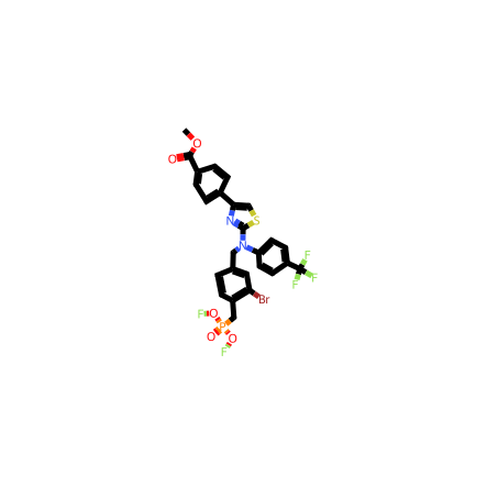 COC(=O)c1ccc(-c2csc(N(Cc3ccc(CP(=O)(OF)OF)c(Br)c3)c3ccc(C(F)(F)F)cc3)n2)cc1